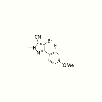 COc1ccc(-c2nn(C)c(C#N)c2Br)c(F)c1